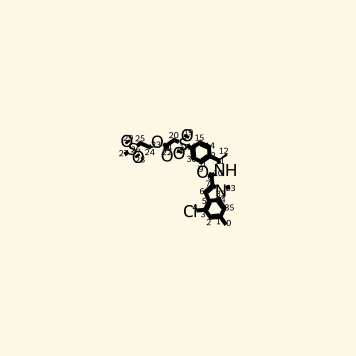 Cc1cc(Cl)c2cc(C(=O)N[C@H](C)c3ccc(S(=O)(=O)CC(=O)OCCS(C)(=O)=O)cc3)n(C)c2c1